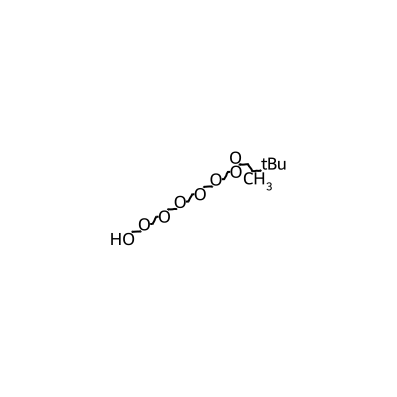 CC(CC(=O)OCCOCCOCCOCCOCCOCCO)CC(C)(C)C